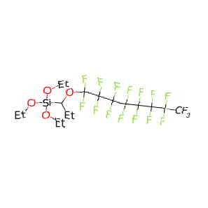 CCO[Si](OCC)(OCC)C(CC)OC(F)(F)C(F)(F)C(F)(F)C(F)(F)C(F)(F)C(F)(F)C(F)(F)C(F)(F)F